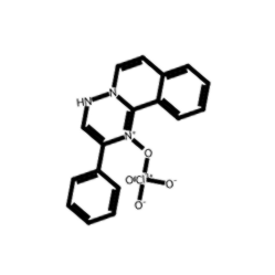 [O-][Cl+3]([O-])([O-])O[N+]1=C2c3ccccc3C=CN2NC=C1c1ccccc1